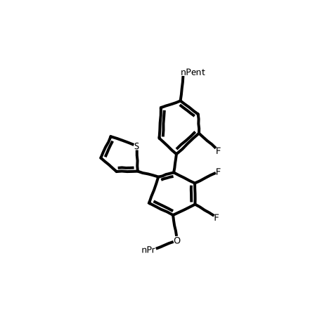 CCCCCc1ccc(-c2c(-c3cccs3)cc(OCCC)c(F)c2F)c(F)c1